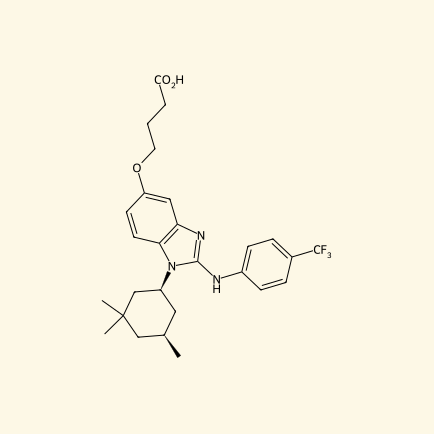 C[C@@H]1C[C@H](n2c(Nc3ccc(C(F)(F)F)cc3)nc3cc(OCCCC(=O)O)ccc32)CC(C)(C)C1